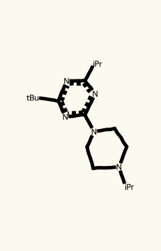 CC(C)c1nc(N2CCN(C(C)C)CC2)nc(C(C)(C)C)n1